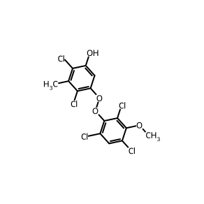 COc1c(Cl)cc(Cl)c(OOc2cc(O)c(Cl)c(C)c2Cl)c1Cl